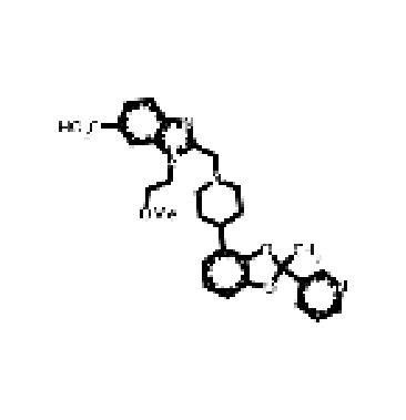 COCCn1c(CN2CCC(c3cccc4c3OC(C)(c3cccnc3)O4)CC2)nc2ccc(C(=O)O)cc21